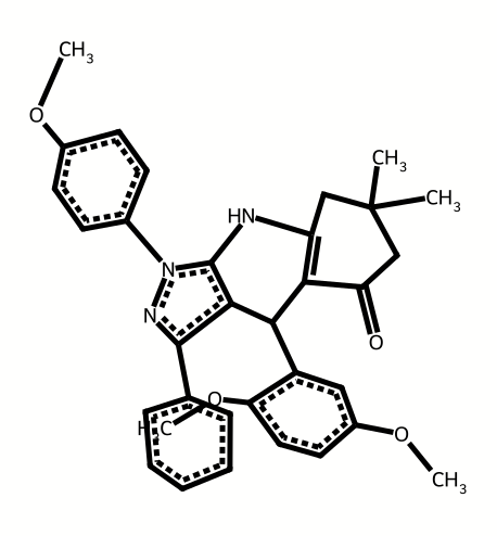 COc1ccc(-n2nc(-c3ccccc3)c3c2NC2=C(C(=O)CC(C)(C)C2)C3c2cc(OC)ccc2OC)cc1